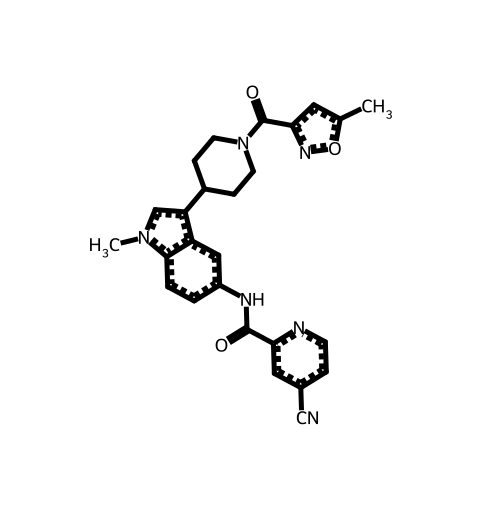 Cc1cc(C(=O)N2CCC(c3cn(C)c4ccc(NC(=O)c5cc(C#N)ccn5)cc34)CC2)no1